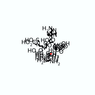 CC(=O)O.CC(=O)O.CC(=O)O.CC(=O)O.NCCN.Nc1ncnc2c1ncn2[C@@H]1O[C@H](COP(=O)(O)OP(=O)(O)OP(=O)(O)O)[C@@H](OC(=O)CN(CCN(CC(=O)O)CC(=O)O)CC(=O)O)[C@H]1O